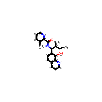 CCC(C)C(NC(=O)c1ncccc1C)c1ccc2cccnc2c1O